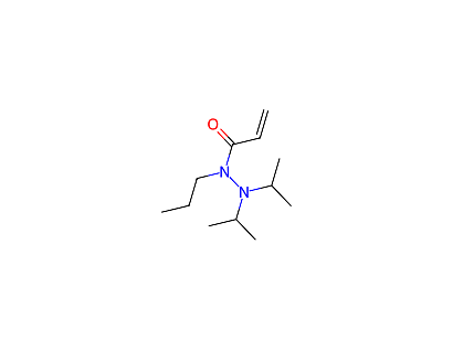 C=CC(=O)N(CCC)N(C(C)C)C(C)C